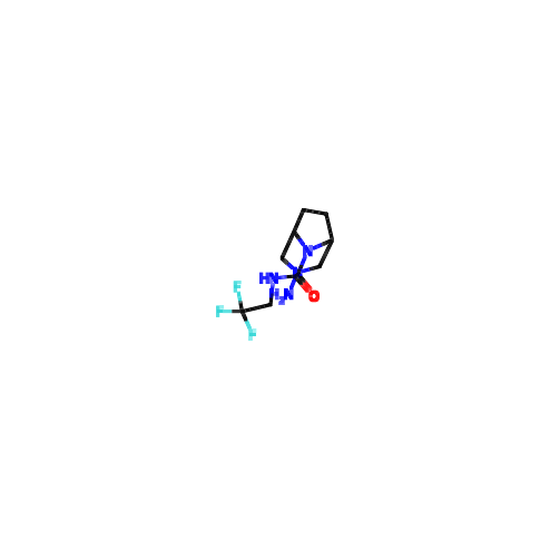 NN1CC2CCC(C1)N2C(=O)NCC(F)(F)F